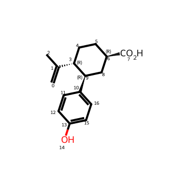 C=C(C)[C@@H]1CC[C@@H](C(=O)O)C[C@H]1c1ccc(O)cc1